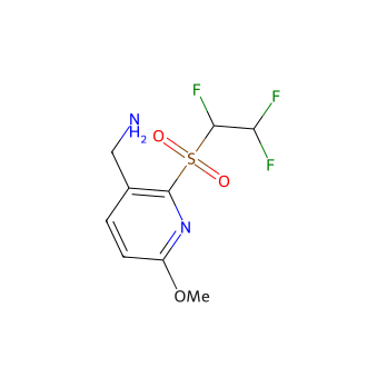 COc1ccc(CN)c(S(=O)(=O)C(F)C(F)F)n1